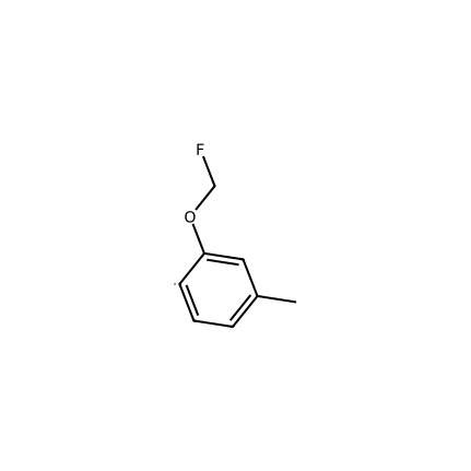 Cc1cc[c]c(OCF)c1